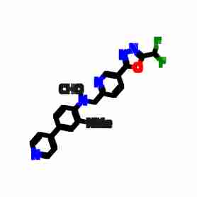 CNc1cc(-c2ccncc2)ccc1N(C=O)Cc1ccc(-c2nnc(C(F)F)o2)cn1